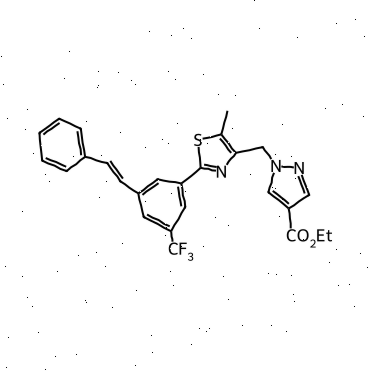 CCOC(=O)c1cnn(Cc2nc(-c3cc(/C=C/c4ccccc4)cc(C(F)(F)F)c3)sc2C)c1